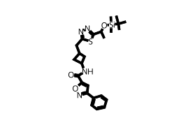 CC(O[Si](C)(C)C(C)(C)C)c1nnc(CC2CC(NC(=O)c3cc(-c4ccccc4)no3)C2)s1